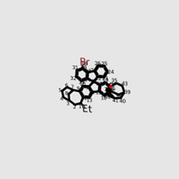 CCC1CC2CCCC(C2)c2cc3c(cc21)-c1cc2c(cc1C31c3ccccc3-c3c(Br)cccc31)C1CC3CC(CC2C3)C1